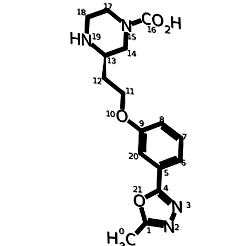 Cc1nnc(-c2cccc(OCC[C@@H]3CN(C(=O)O)CCN3)c2)o1